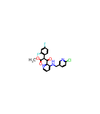 COC(=O)C(C(=O)c1ncccc1NCc1ccc(Cl)nc1)c1ccc(F)cc1F